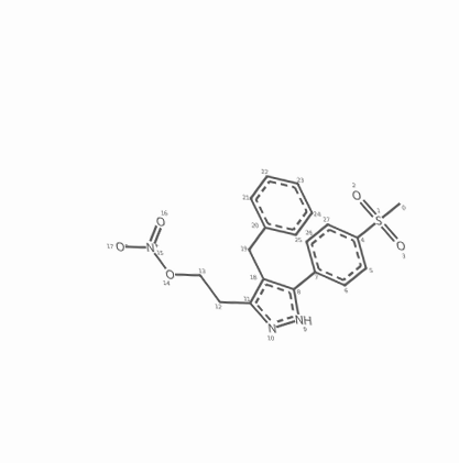 CS(=O)(=O)c1ccc(-c2[nH]nc(CCO[N+](=O)[O-])c2Cc2ccccc2)cc1